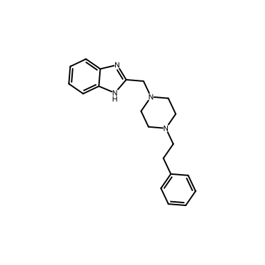 c1ccc(CCN2CCN(Cc3nc4ccccc4[nH]3)CC2)cc1